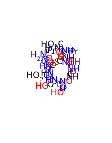 CC(C)C[C@H](NC(=O)[C@@H]1CSSC[C@H](NC(=O)[C@@H]2CCCN2C(=O)[C@@H](N)CC(C)C)C(=O)N[C@@H](CC(=O)O)C(=O)N[C@@H](Cc2ccc(O)cc2)C(=O)N[C@@H](Cc2ccc(O)cc2)C(=O)NCC(=O)NC([C@@H](C)O)C(=O)N1)C(=O)N[C@@H](CC(=O)O)C(N)=O